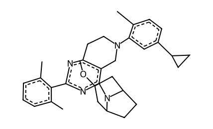 COC1CC2CCC(C1)N2c1nc(-c2c(C)cccc2C)nc2c1CN(c1cc(C3CC3)ccc1C)CC2